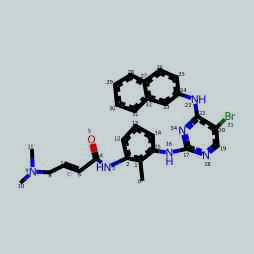 Cc1c(NC(=O)/C=C/CN(C)C)cccc1Nc1ncc(Br)c(Nc2ccc3ccccc3c2)n1